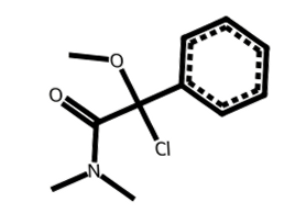 COC(Cl)(C(=O)N(C)C)c1ccccc1